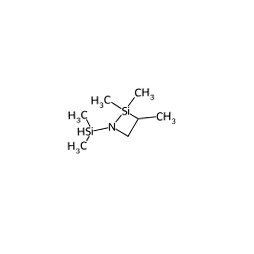 CC1CN([SiH](C)C)[Si]1(C)C